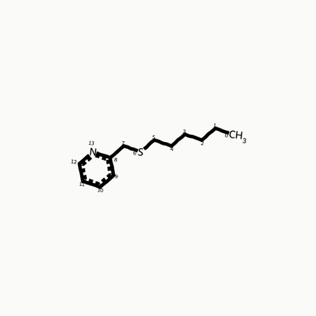 CCCCCCSCc1[c]cccn1